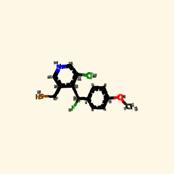 F[C@H](c1ccc(OC(F)(F)F)cc1)c1c(Cl)cncc1CS